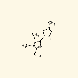 Cc1nn([C@H]2CN(C)C[C@@H]2O)c(C)c1C